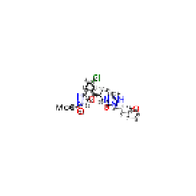 CCNN(CCCC1CCCOC1)C(=O)N1CCCC([C@@H](OCCNC(=O)OC)c2cc(Cl)ccc2C)C1